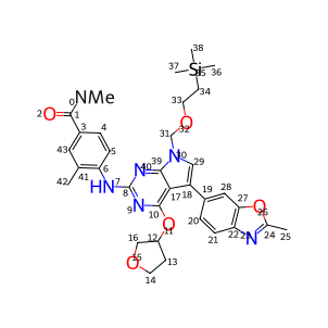 CNC(=O)c1ccc(Nc2nc(OC3CCOC3)c3c(-c4ccc5nc(C)oc5c4)cn(COCC[Si](C)(C)C)c3n2)c(C)c1